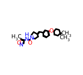 Cc1oncc1NC(=O)N1CCC(=Cc2cccc(OC3CCC(C)(C)CC3)c2)CC1